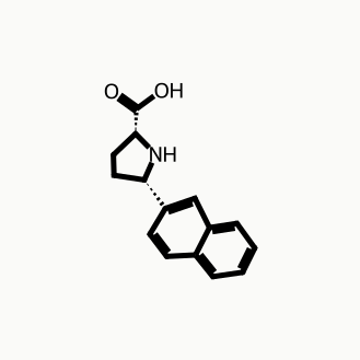 O=C(O)[C@H]1CC[C@@H](c2ccc3ccccc3c2)N1